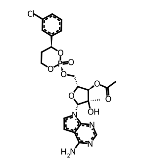 CC(=O)O[C@@H]1[C@@H](CO[P@@]2(=O)OCC[C@@H](c3cccc(Cl)c3)O2)O[C@@H](n2ccc3c(N)ncnc32)[C@]1(C)O